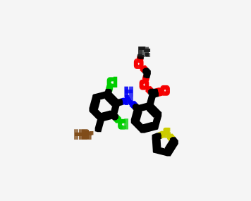 Br.CCOCOC(=O)c1ccccc1Nc1c(Cl)ccc(C)c1Cl.c1ccsc1